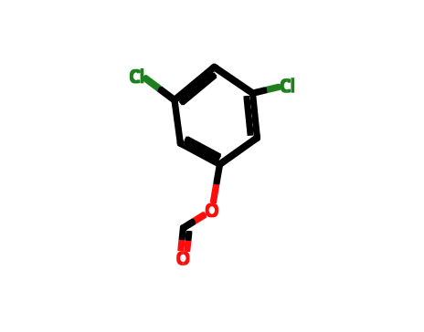 O=COc1cc(Cl)cc(Cl)c1